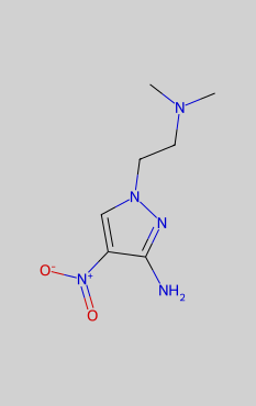 CN(C)CCn1cc([N+](=O)[O-])c(N)n1